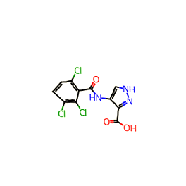 O=C(O)c1n[nH]cc1NC(=O)c1c(Cl)ccc(Cl)c1Cl